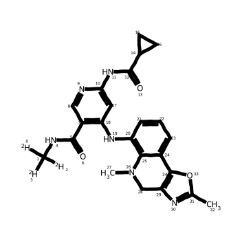 [2H]C([2H])([2H])NC(=O)c1cnc(NC(=O)C2CC2)cc1Nc1cccc2c1N(C)Cc1nc(C)oc1-2